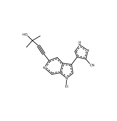 CCn1cc(-c2c[nH]nc2C#N)c2cc(C#CC(C)(C)O)ncc21